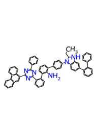 CCC1Nc2cc(-c3ccccc3-c3ccccc3)ccc2N1c1ccc(-c2cccc(-c3ccccc3-c3nc(-c4ccccc4)nc(-c4cc5ccccc5c5ccccc45)n3)c2N)cc1